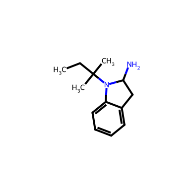 CCC(C)(C)N1c2ccccc2CC1N